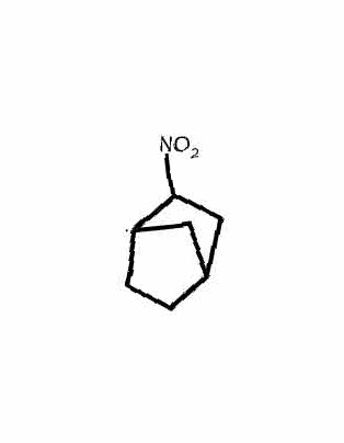 O=[N+]([O-])C1CC2CC[C]1C2